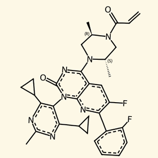 C=CC(=O)N1C[C@H](C)N(c2nc(=O)n(-c3c(C4CC4)nc(C)nc3C3CC3)c3nc(-c4ccccc4F)c(F)cc23)C[C@H]1C